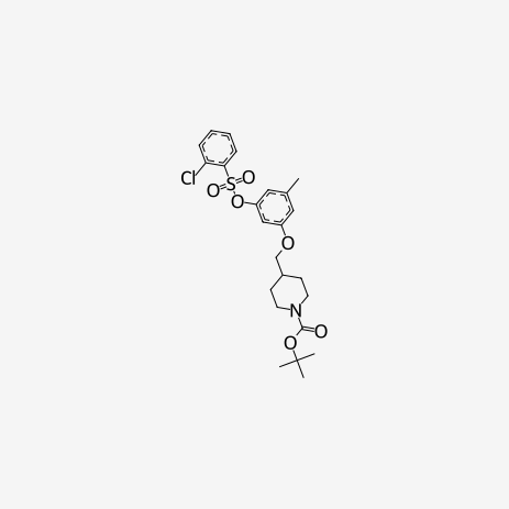 Cc1cc(OCC2CCN(C(=O)OC(C)(C)C)CC2)cc(OS(=O)(=O)c2ccccc2Cl)c1